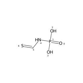 O=P(O)(O)NC=S